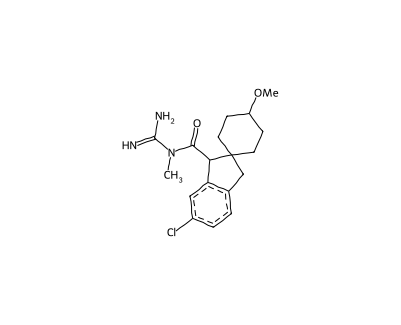 COC1CCC2(CC1)Cc1ccc(Cl)cc1C2C(=O)N(C)C(=N)N